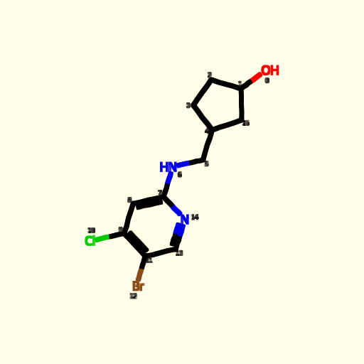 OC1CCC(CNc2cc(Cl)c(Br)cn2)C1